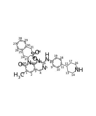 Cc1cc2cnc(Nc3ccc(C4CCNCC4)cc3)nc2n(C2Cc3ccccc3CS2(=O)=O)c1=O